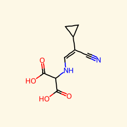 N#CC(=CNC(C(=O)O)C(=O)O)C1CC1